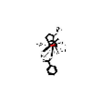 CO[C@@H]1CCC23CC[C@@H](C)[C@](C)(C12)[C@H](O)C[C@@](C)(SC(=O)c1ccccc1)C(=O)[C@@H]3C